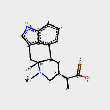 CCCN1C[C@H](C(C)C(O)=S)CC2c3cccc4[nH]cc(c34)C[C@H]21